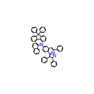 c1ccc(-c2nn3c(-c4ccccc4)cc4cc(N(c5cccc6c5-c5ccccc5C6(c5ccccc5)c5ccccc5)c5cccc6ccccc56)ccc4c3c2-c2ccccc2)cc1